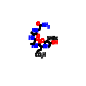 CC(=O)NC(C(=O)NC(CCC(=O)O)C(=O)NC(C)C(=O)NC(C)C(=O)NCC(N)=O)C(C)O